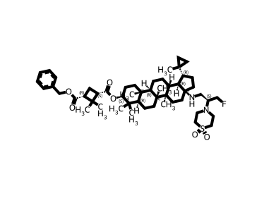 CC1([C@@H]2CC[C@]3(NC[C@@H](CF)N4CCS(=O)(=O)CC4)CC[C@]4(C)[C@H](CC[C@@H]5[C@@]6(C)CC[C@H](OC(=O)[C@H]7C[C@@H](C(=O)OCc8ccccc8)C7(C)C)C(C)(C)[C@@H]6CC[C@]54C)[C@@H]23)CC1